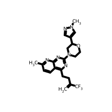 C=C(CCc1nc(N2CCOC(c3cnn(C)c3)C2)nc2nc(C)ccc12)C(F)(F)F